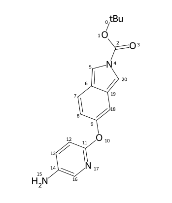 CC(C)(C)OC(=O)n1cc2ccc(Oc3ccc(N)cn3)cc2c1